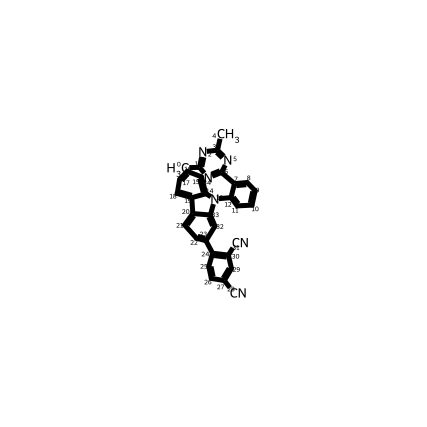 Cc1nc(C)nc(-c2ccccc2-n2c3ccccc3c3ccc(-c4ccc(C#N)cc4C#N)cc32)n1